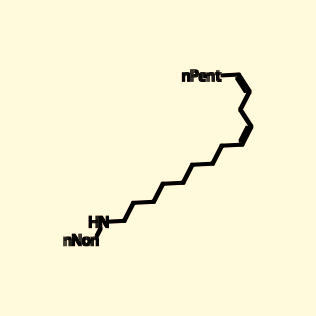 CCCCC/C=C\C/C=C\CCCCCCCCNCCCCCCCCC